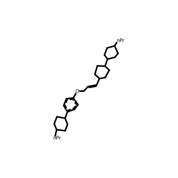 CCCC1CCC(c2ccc(OC/C=C/C3CCC(C4CCC(CCC)CC4)CC3)cc2)CC1